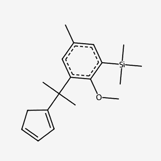 COc1c(C(C)(C)C2=CC=CC2)cc(C)cc1[Si](C)(C)C